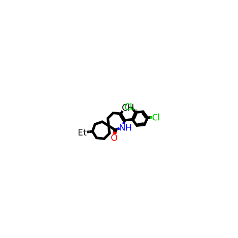 CCC1CCCC2(CCC(C)=C(c3ccc(Cl)cc3Cl)NC2=O)CC1